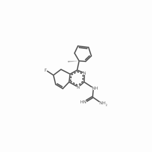 C[C@@]1(c2nc(NC(=N)N)nc3c2CC(F)C=C3)C=CC=CC1